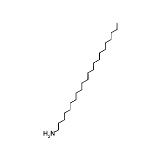 CCCCCCCCCCC=CCCCCCCCCCCN